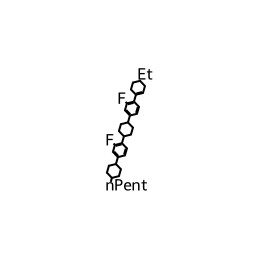 CCCCCC1CCC(c2ccc(C3CCC(c4ccc(C5=CCC(CC)CC5)c(F)c4)CC3)c(F)c2)CC1